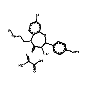 CCNCCN1C(=O)C(OC(C)=O)C(c2ccc(OC)cc2)Sc2cc(Cl)ccc21.O=C(O)C(=O)O